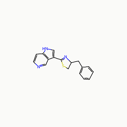 c1ccc(CC2CSC(c3c[nH]c4ccncc34)=N2)cc1